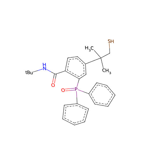 CC(C)(C)NC(=O)c1ccc(C(C)(C)CS)cc1P(=O)(c1ccccc1)c1ccccc1